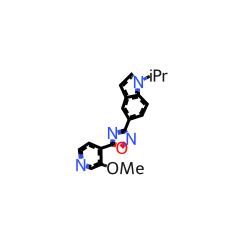 COc1cnccc1-c1nc(-c2ccc3c(ccn3C(C)C)c2)no1